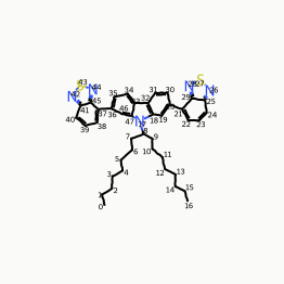 CCCCCCCCC(CCCCCCCC)n1c2cc(-c3cccc4nsnc34)ccc2c2ccc(-c3cccc4nsnc34)cc21